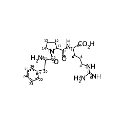 N=C(N)NCCCC(NC(=O)C1CCCN1C(=O)C(N)Cc1ccccc1)C(=O)O